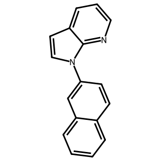 c1ccc2cc(-n3ccc4cccnc43)ccc2c1